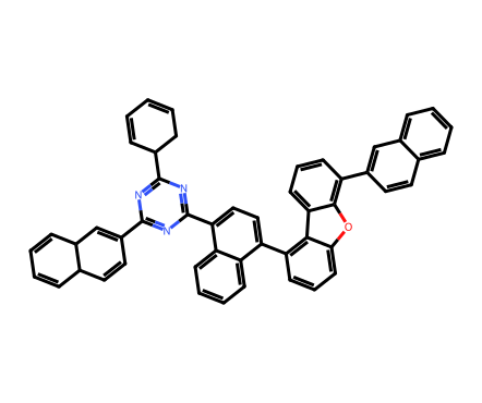 C1=CCC(c2nc(C3=CC4C=CC=CC4C=C3)nc(-c3ccc(-c4cccc5oc6c(-c7ccc8ccccc8c7)cccc6c45)c4ccccc34)n2)C=C1